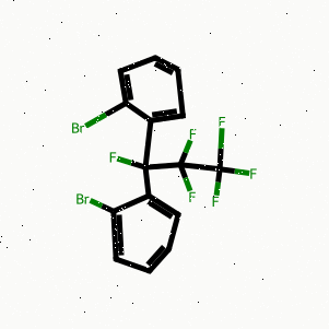 FC(F)(F)C(F)(F)C(F)(c1ccccc1Br)c1ccccc1Br